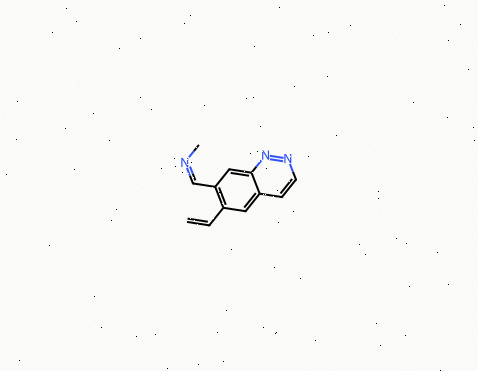 C=Cc1cc2ccnnc2cc1/C=N\C